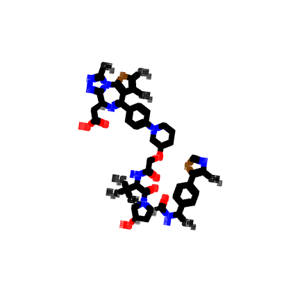 Cc1ncsc1-c1ccc(C(C)NC(=O)[C@@H]2C[C@@H](O)CN2C(=O)C(NC(=O)COC2CCCN(c3ccc(C4=N[C@@H](CC(=O)O)c5nnc(C)n5-c5sc(C)c(C)c54)cc3)C2)C(C)(C)C)cc1